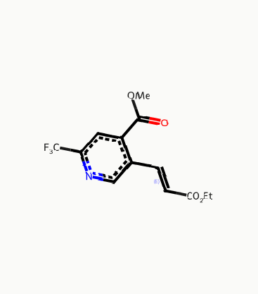 CCOC(=O)/C=C/c1cnc(C(F)(F)F)cc1C(=O)OC